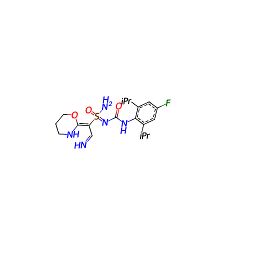 CC(C)c1cc(F)cc(C(C)C)c1NC(=O)N=S(N)(=O)/C(C=N)=C1/NCCCO1